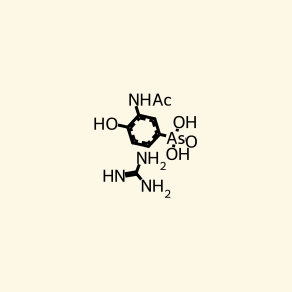 CC(=O)Nc1cc([As](=O)(O)O)ccc1O.N=C(N)N